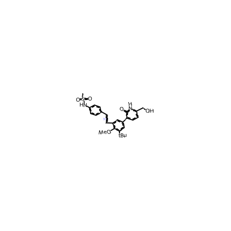 COc1c(/C=C/c2ccc(NS(C)(=O)=O)cc2)cc(-c2ccc(CO)[nH]c2=O)cc1C(C)(C)C